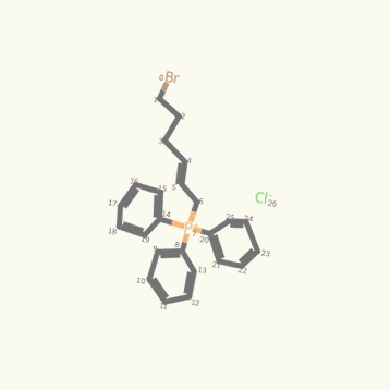 BrCCCC=CC[P+](c1ccccc1)(c1ccccc1)c1ccccc1.[Cl-]